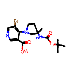 CC1(NC(=O)OC(C)(C)C)CCN(c2c(Br)cncc2C(=O)O)C1